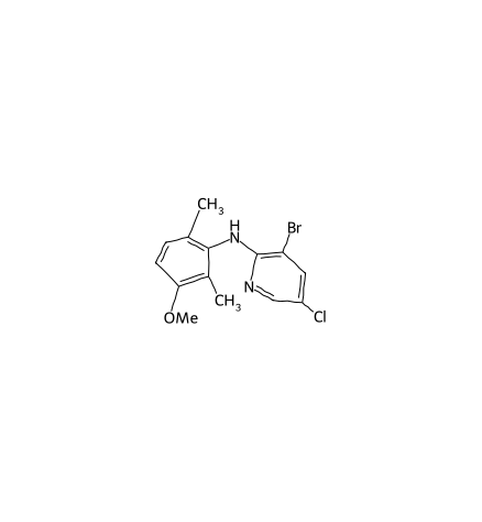 COc1ccc(C)c(Nc2ncc(Cl)cc2Br)c1C